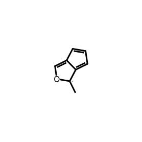 C[C]1OC=C2C=CC=C12